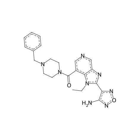 CCn1c(-c2nonc2N)nc2cncc(C(=O)N3CCN(Cc4ccccc4)CC3)c21